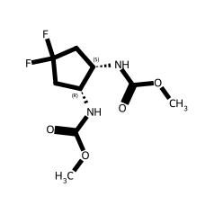 COC(=O)N[C@H]1CC(F)(F)C[C@H]1NC(=O)OC